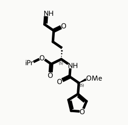 CO[C@H](C(=O)N[C@@H](CCC(=O)C=N)C(=O)OC(C)C)c1ccoc1